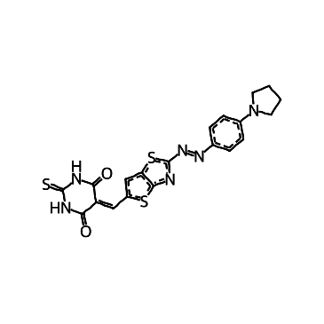 O=C1NC(=S)NC(=O)C1=Cc1cc2sc(/N=N/c3ccc(N4CCCC4)cc3)nc2s1